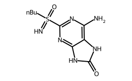 CCCCS(=N)(=O)c1nc(N)c2[nH]c(=O)[nH]c2n1